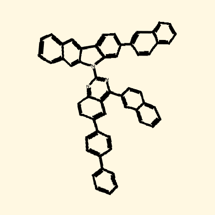 c1ccc(-c2ccc(-c3ccc4nc(-n5c6cc(-c7ccc8ccccc8c7)ccc6c6cc7ccccc7cc65)nc(-c5ccc6ccccc6c5)c4c3)cc2)cc1